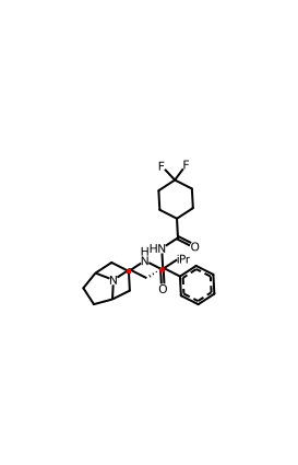 CC(C)C(=O)NC1CC2CCC(C1)N2CC[C@H](NC(=O)C1CCC(F)(F)CC1)c1ccccc1